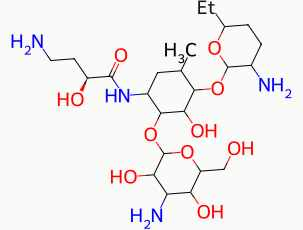 CCC1CCC(N)C(OC2C(C)CC(NC(=O)[C@@H](O)CCN)C(OC3OC(CO)C(O)C(N)C3O)C2O)O1